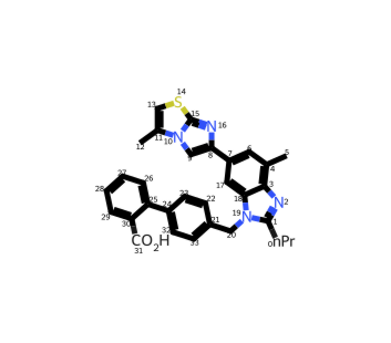 CCCc1nc2c(C)cc(-c3cn4c(C)csc4n3)cc2n1Cc1ccc(-c2ccccc2C(=O)O)cc1